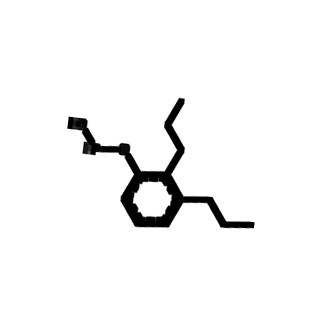 CCCc1cccc(OPO)c1CCC